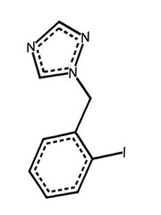 Ic1ccccc1Cn1cncn1